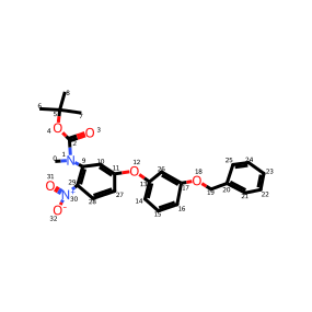 CN(C(=O)OC(C)(C)C)c1cc(Oc2cccc(OCc3ccccc3)c2)ccc1[N+](=O)[O-]